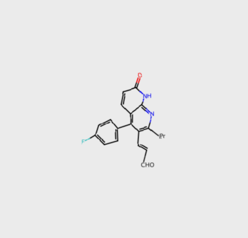 CC(C)c1nc2[nH]c(=O)ccc2c(-c2ccc(F)cc2)c1C=CC=O